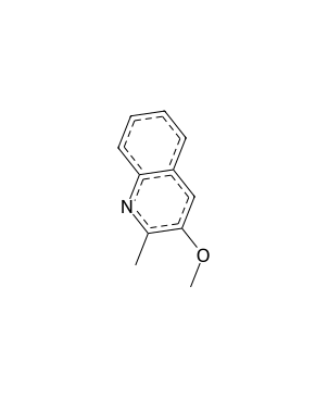 COc1cc2ccccc2nc1C